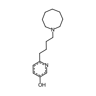 Oc1ccc(CCCCN2CCCCCCC2)nc1